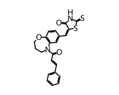 O=C1NC(=S)SC1=Cc1ccc2c(c1)N(C(=O)C=Cc1ccccc1)CCCO2